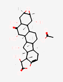 CC(=O)O[C@H]1C[C@H]2[C@H]([C@@H]3[C@@H](O)[C@@H]4[C@H]([C@H](C)C=C5OC(=O)[C@@](C)(O)[C@@]54C)[C@]31C)[C@@H](O)C(=O)[C@@]1(O)C[C@@H]3O[C@@H]3[C@H](O)[C@]21C